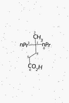 CCCC(C)(CCC)CCC(=O)O